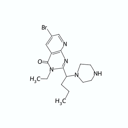 CCCC(c1nc2ncc(Br)cc2c(=O)n1CC)N1CCNCC1